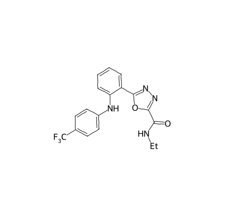 CCNC(=O)c1nnc(-c2ccccc2Nc2ccc(C(F)(F)F)cc2)o1